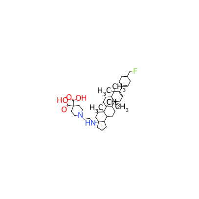 CC1(C)C(C2=CCC(CF)CC2)=CCC2(C)C1CCC1(C)C2CCC2C3CCCC3(NCCN3CCC(C(=O)O)(C(=O)O)CC3)CC[C@]21C